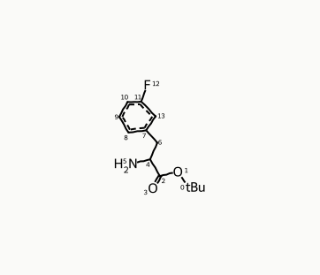 CC(C)(C)OC(=O)C(N)Cc1cccc(F)c1